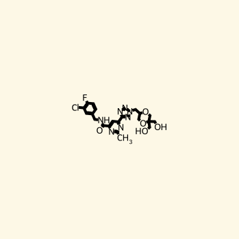 Cc1nc(C(=O)NCc2ccc(F)c(Cl)c2)cc(-c2nnn(CC3COC(CO)(CO)CO3)n2)n1